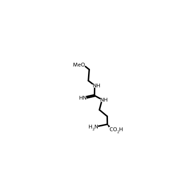 COCCNC(=N)NCC[C@H](N)C(=O)O